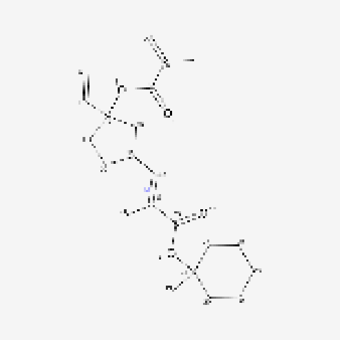 C=CC1(OC(=O)C(=C)C)CCC(/C=C(\C)C(=O)OC2(C)CCCCC2)C1